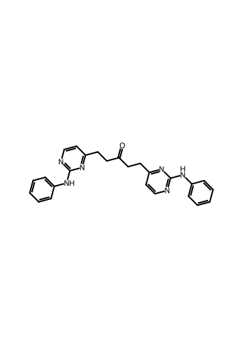 O=C(CCc1ccnc(Nc2ccccc2)n1)CCc1ccnc(Nc2ccccc2)n1